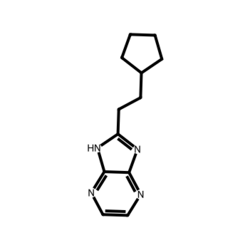 c1cnc2[nH]c(CCC3CCCC3)nc2n1